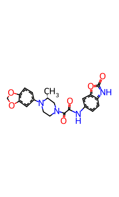 C[C@@H]1CN(C(=O)C(=O)Nc2ccc3[nH]c(=O)oc3c2)CCN1c1ccc2c(c1)OCO2